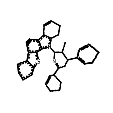 CC1C(C2=CCCC=C2)CC(C2C=CCCC2)=NC1n1c2c(c3c#cc4c5ccccc5sc4c31)C=CCC2